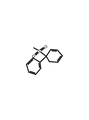 CS(=O)(=O)C1(c2ccccc2)[CH]C=CC=C1